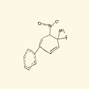 NC1(F)C=CC(c2ccccc2)=CC1[N+](=O)[O-]